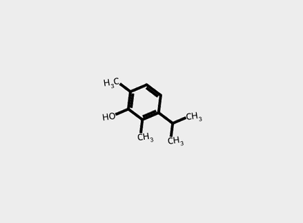 Cc1ccc(C(C)C)c(C)c1O